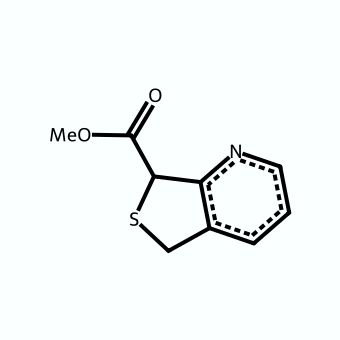 COC(=O)C1SCc2cccnc21